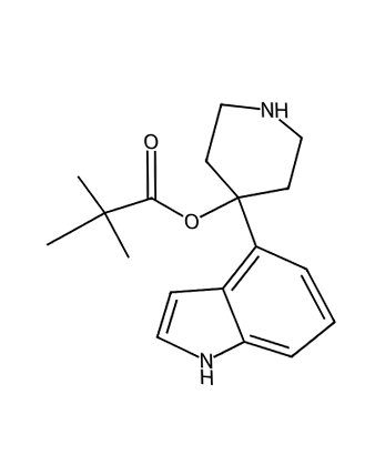 CC(C)(C)C(=O)OC1(c2cccc3[nH]ccc23)CCNCC1